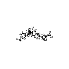 CC(C)N1CCC(CS(=O)(=O)N2CC[C@H](NC(=O)c3cc(C4CC4)on3)C[C@@H]2C)CC1